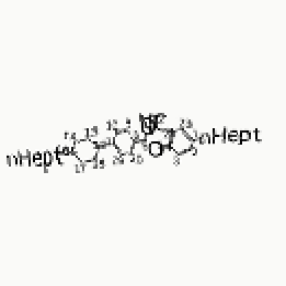 CCCCCCCc1ccc(OC(=O)c2ccc(C3CCC(CCCCCCC)CC3)cc2)c(C#N)c1